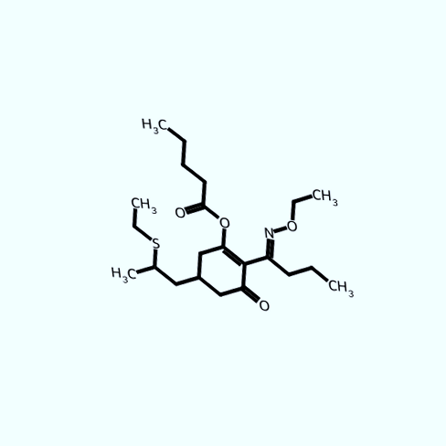 CCCCC(=O)OC1=C(C(CCC)=NOCC)C(=O)CC(CC(C)SCC)C1